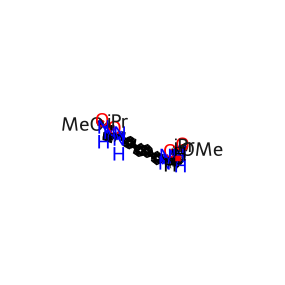 COC(=O)NC(C(=O)N1CCC[C@H]1c1ncc(-c2ccc(-c3ccc4cc(-c5ccc6nc([C@@H]7[C@H]8CC[C@H](C8)N7C(=O)[C@@H](NC(=O)OC)C(C)C)[nH]c6c5)ccc4c3)cc2)[nH]1)C(C)C